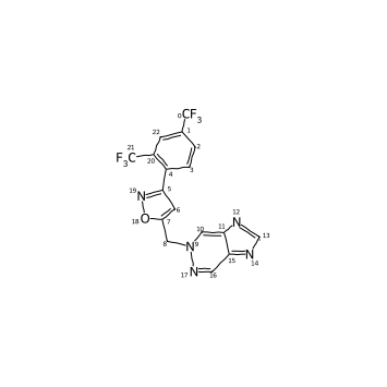 FC(F)(F)c1ccc(-c2cc(Cn3cc4n[c]nc-4cn3)on2)c(C(F)(F)F)c1